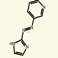 c1cncc(/N=N/c2ncc[nH]2)c1